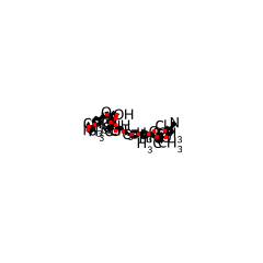 Cc1ncsc1-c1ccc(CNC(=O)[C@@H]2C[C@@H](O)CN2C(=O)C(NC(=O)CCCOc2ccc(-c3ccc(C(=O)N[C@H]4C(C)(C)[C@H](Oc5ccc(C#N)c(Cl)c5)C4(C)C)cc3)cc2)C(C)(C)C)cc1